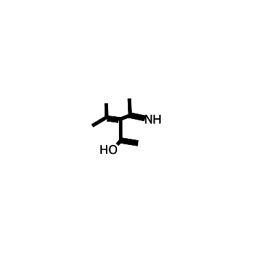 C=C(O)C(C(C)=N)=C(C)C